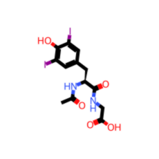 CC(=O)N[C@@H](Cc1cc(I)c(O)c(I)c1)C(=O)NCC(=O)O